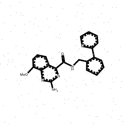 COc1cccc2c(C(=O)NCc3ccccc3-c3ccccn3)nc(N)nc12